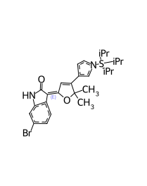 CC(C)S(C(C)C)(C(C)C)n1ccc(C2=C/C(=C3\C(=O)Nc4cc(Br)ccc43)OC2(C)C)c1